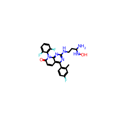 Cc1cc(F)ccc1-c1nc(NCCC(N)NO)nc2c1ccc(=O)n2-c1c(F)cccc1F